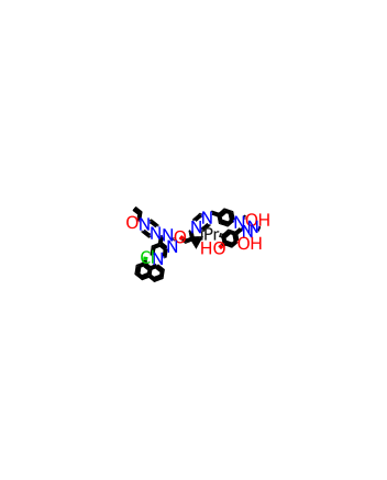 C=CC(=O)N1CCN(c2nc(OCC3(CN4CCN(Cc5ccc(N(CO)/C(=N\N=C)c6cc(C(C)C)c(O)cc6O)cc5)CC4)CC3)nc3c2CCN(c2cccc4cccc(Cl)c24)C3)CC1